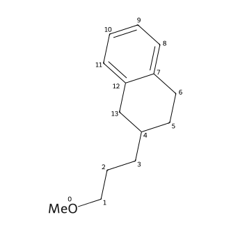 COCCCC1CCc2ccccc2C1